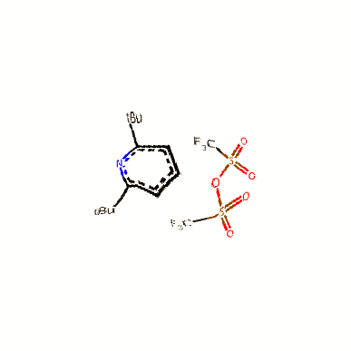 CC(C)(C)c1cccc(C(C)(C)C)n1.O=S(=O)(OS(=O)(=O)C(F)(F)F)C(F)(F)F